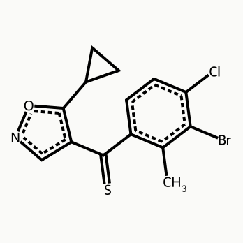 Cc1c(C(=S)c2cnoc2C2CC2)ccc(Cl)c1Br